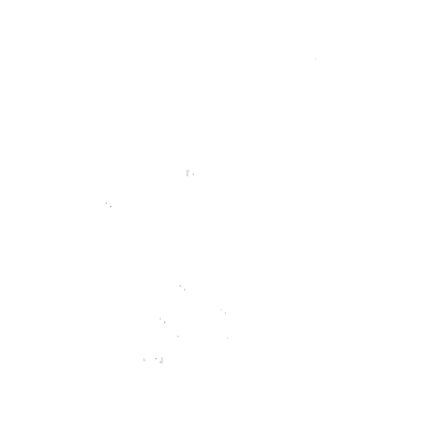 CCC(C)(C)c1ccc(OCC(=O)Nc2cccc(C(=O)NC3=NN(c4c(Cl)cc(Cl)cc4Cl)C(=O)C3(NC(C)=O)Nc3ccccc3)c2)c(C(C)(C)CC)c1.CCNCC